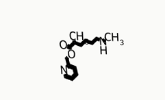 CNCCCCC(C)C(=O)OCc1ccccn1